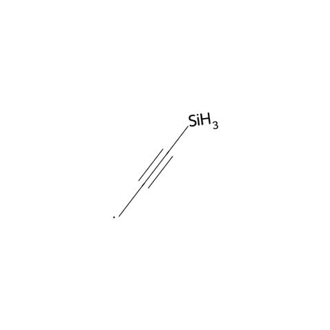 [CH2]C#C[SiH3]